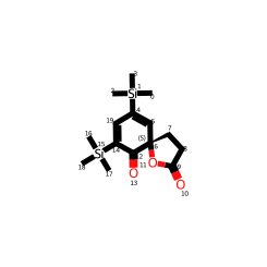 C[Si](C)(C)C1=C[C@@]2(CCC(=O)O2)C(=O)C([Si](C)(C)C)=C1